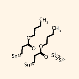 CCCCOC(=O)C[CH2][Sn+3].CCCCOC(=O)C[CH2][Sn+3].[S-2].[S-2].[S-2]